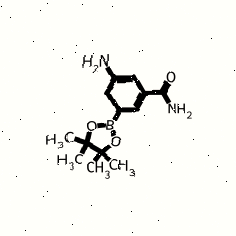 CC1(C)OB(C2C=C(C(N)=O)C=C(N)C2)OC1(C)C